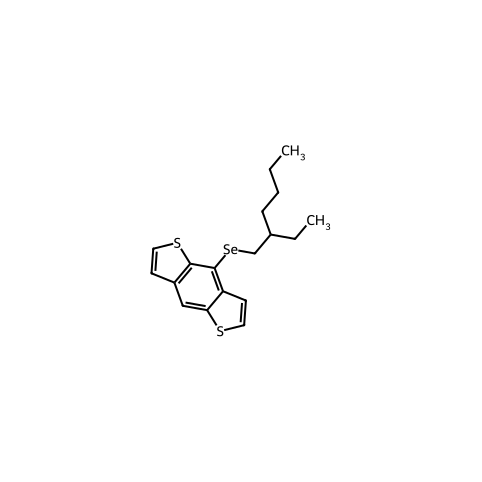 CCCCC(CC)C[Se]c1c2ccsc2cc2ccsc12